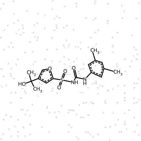 Cc1cc(C)cc(NC(=O)NS(=O)(=O)c2cc(C(C)(C)O)co2)c1